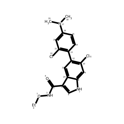 CCONC(=O)c1c[nH]c2cc(Cl)c(-c3ccc(N(C)C)cc3Cl)cc12